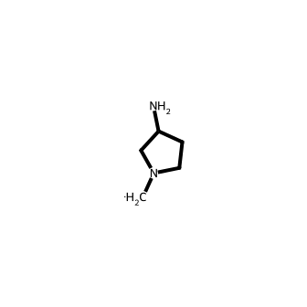 [CH2]N1CCC(N)C1